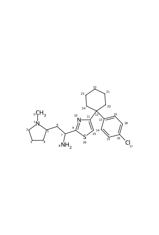 CN1CCCC1CC(N)c1nc(C2(c3ccc(Cl)cc3)CCCCC2)cs1